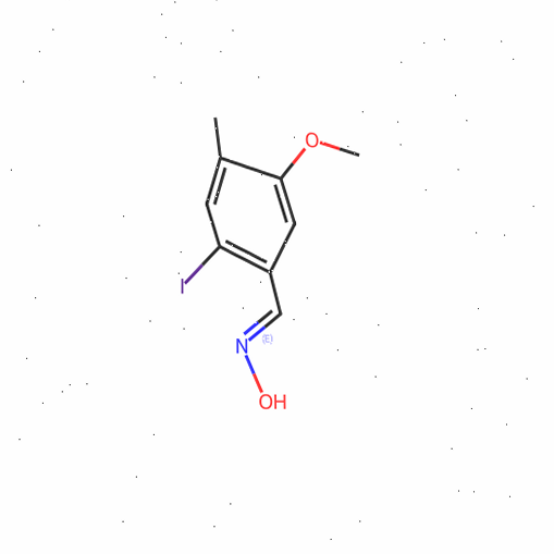 COc1cc(/C=N/O)c(I)cc1C